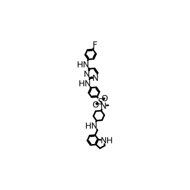 CN(C1CCC(NCc2cccc3c2NCC3)CC1)S(=O)(=O)c1ccc(Nc2nccc(Nc3ccc(F)cc3)n2)cc1